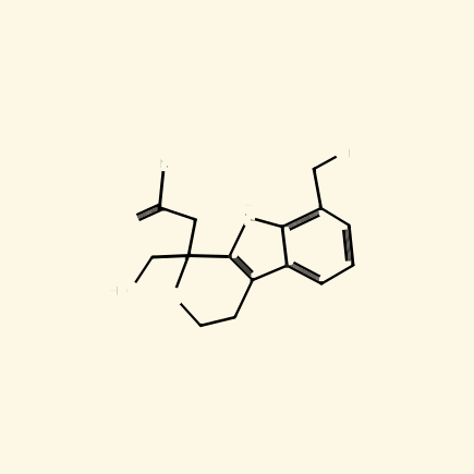 CCc1cccc2c3c([nH]c12)C(CC)(CC(N)=O)OCC3